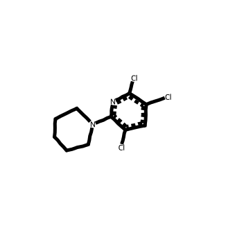 Clc1cc(Cl)c(N2CCCCC2)nc1Cl